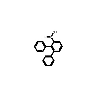 OP(O)c1cccc(-c2ccccc2)c1-c1ccccc1